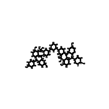 Cc1ccc(N2c3ccc(C)cc3B3c4ccc(-c5cccc(-c6ccc7c(c6)C(C)(C)c6c(C)ccc8c6B7c6cc(C)ccc6N8c6ccc(C)cc6)c5)cc4C(C)(C)c4c(C)ccc2c43)cc1